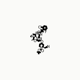 C[C@H](Oc1cc(O[C@H]2CCN(C(=O)OC(C)(C)C)[C@H](CC#N)C2)nc(-c2noc(C(C)(C)c3c(F)cccc3Cl)n2)n1)[C@@H]1C[C@@H](F)CN1C